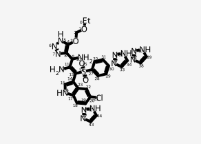 CCOCOc1[nH]nnc1C(N)C(N)=C(c1c[nH]c2ccc(Cl)cc12)S(=O)(=O)c1ccccc1.c1c[nH]nn1.c1c[nH]nn1.c1c[nH]nn1